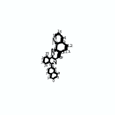 c1ccc2cc(-c3nc4cc5ccc6cccnc6c5nc4c4ccccc34)ccc2c1